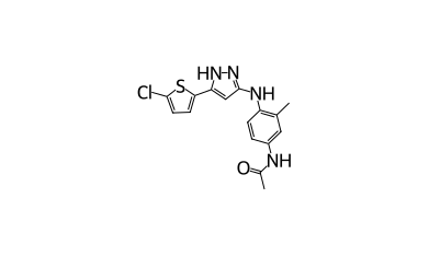 CC(=O)Nc1ccc(Nc2cc(-c3ccc(Cl)s3)[nH]n2)c(C)c1